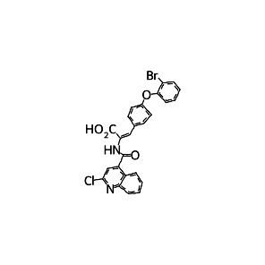 O=C(O)C(=Cc1ccc(Oc2ccccc2Br)cc1)NC(=O)c1cc(Cl)nc2ccccc12